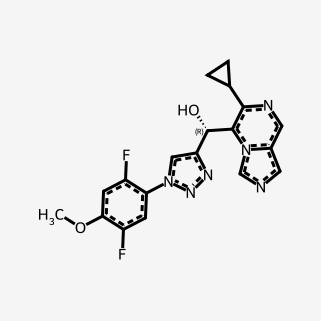 COc1cc(F)c(-n2cc([C@H](O)c3c(C4CC4)ncc4cncn34)nn2)cc1F